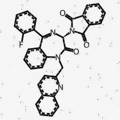 O=C1[C@H](N2C(=O)c3ccccc3C2=O)N=C(c2ccccc2F)c2ccccc2N1Cc1ccc2ccccc2n1